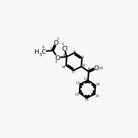 CC(=O)OC1(Cl)C=CC(C(=O)c2ccccc2)C=C1